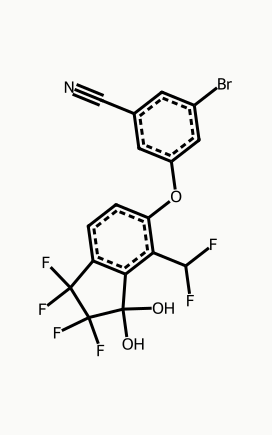 N#Cc1cc(Br)cc(Oc2ccc3c(c2C(F)F)C(O)(O)C(F)(F)C3(F)F)c1